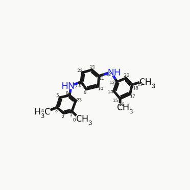 Cc1cc(C)cc(Nc2ccc(Nc3cc(C)cc(C)c3)cc2)c1